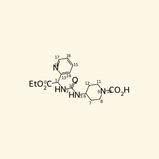 CCOC(=O)C(NC(=O)NC1CCN(C(=O)O)CC1)c1ccccn1